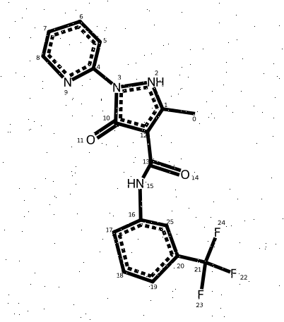 Cc1[nH]n(-c2ccccn2)c(=O)c1C(=O)Nc1cccc(C(F)(F)F)c1